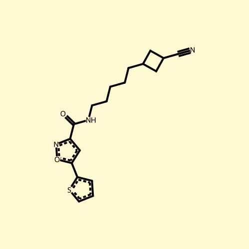 N#CC1CC(CCCCCNC(=O)c2cc(-c3cccs3)on2)C1